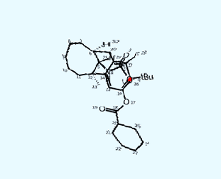 CC(C)(C)OC(=O)N[C@H]1[C@H]2CCCCC[C@]1(C)c1cc(OC(=O)C3CCCCC3)cc(F)c1C2